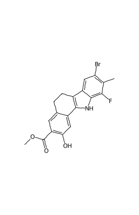 COC(=O)c1cc2c(cc1O)-c1[nH]c3c(F)c(C)c(Br)cc3c1CC2